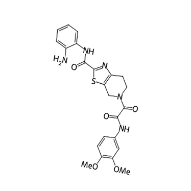 COc1ccc(NC(=O)C(=O)N2CCc3nc(C(=O)Nc4ccccc4N)sc3C2)cc1OC